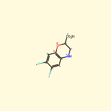 CCOC(=O)C1CNc2cc(F)c(F)cc2O1